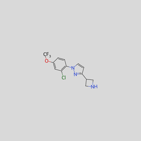 FC(F)(F)Oc1ccc(-n2ccc(C3CNC3)n2)c(Cl)c1